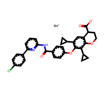 O=C(Nc1cccc(-c2ccc(Cl)cc2)n1)c1ccc(Oc2c(C3CC3)cc3c(c2C2CC2)OCCC3C(=O)[O-])cc1.[Na+]